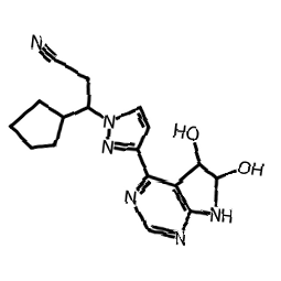 N#CCC(C1CCCC1)n1ccc(-c2ncnc3c2C(O)C(O)N3)n1